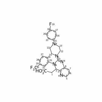 O=C(O)CC1c2ncccc2N=C(N2CCN(c3ccc(F)cc3)CC2)N1c1cccc(C(F)(F)F)c1